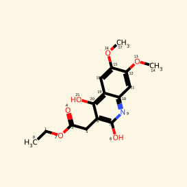 CCOC(=O)Cc1c(O)nc2cc(OC)c(OC)cc2c1O